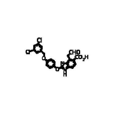 O=CCc1c(C(=O)O)ccc2[nH]c(Oc3ccc(OCc4cc(Cl)cc(Cl)c4)cc3)nc12